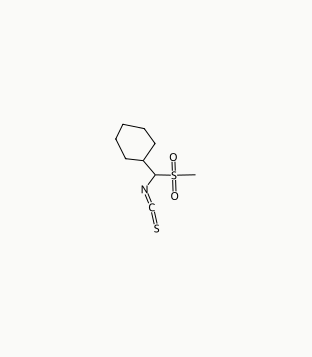 CS(=O)(=O)C(N=C=S)C1CCCCC1